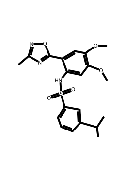 COc1cc(NS(=O)(=O)c2cccc(C(C)C)c2)c(-c2nc(C)no2)cc1OC